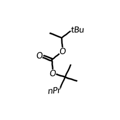 CCCC(C)(C)OC(=O)OC(C)C(C)(C)C